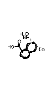 N.O.O=C(O)c1cccc2ccccc12.[Co]